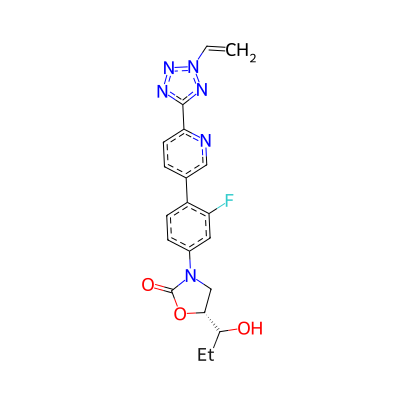 C=Cn1nnc(-c2ccc(-c3ccc(N4C[C@H](C(O)CC)OC4=O)cc3F)cn2)n1